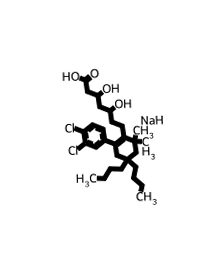 CCCCC1(CCCC)CC(c2ccc(Cl)c(Cl)c2)=C(CCC(O)CC(O)CC(=O)O)C(C)(C)C1.[NaH]